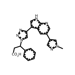 Cn1cc(-c2cnc3[nH]cc(-c4cn(C(CC(=O)O)c5ccccc5)nn4)c3c2)cn1